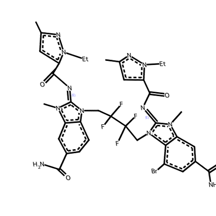 CCn1nc(C)cc1C(=O)/N=c1\n(C)c2cc(C(N)=O)ccc2n1CC(F)(F)C(F)(F)Cn1/c(=N/C(=O)c2cc(C)nn2CC)n(C)c2cc(C(N)=O)cc(Br)c21